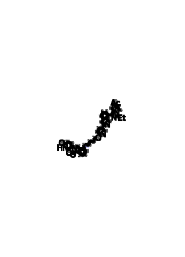 CCc1nc(-c2cccc3cc(-c4ccc(OCCC/C=C/c5cccc6c5CN(C5CCC(=O)NC5=O)C6=O)nc4)ncc23)c2n1CCN(C(C)=O)C2